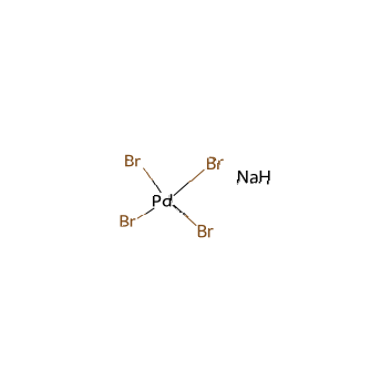 [Br][Pd]([Br])([Br])[Br].[NaH]